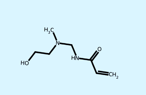 C=CC(=O)NCN(C)CCO